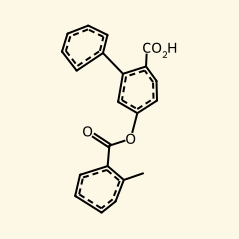 Cc1ccccc1C(=O)Oc1ccc(C(=O)O)c(-c2ccccc2)c1